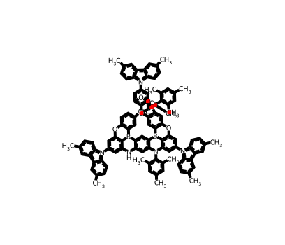 Cc1cc(C)c(N2c3cc4c(cc3B3c5cc6c(cc5Oc5cc(-n7c8ccc(C)cc8c8cc(C)ccc87)cc2c53)N(c2c(C)cc(C)cc2C)c2cc(-n3c5ccc(C)cc5c5cc(C)ccc53)cc3c2B6c2cc(C)ccc2O3)B2c3cc(C)ccc3Oc3cc(-n5c6ccc(C)cc6c6cc(C)ccc65)cc(c32)N4)c(C)c1